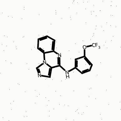 FC(F)(F)Oc1cccc(Nc2nc3ccccc3n3cncc23)c1